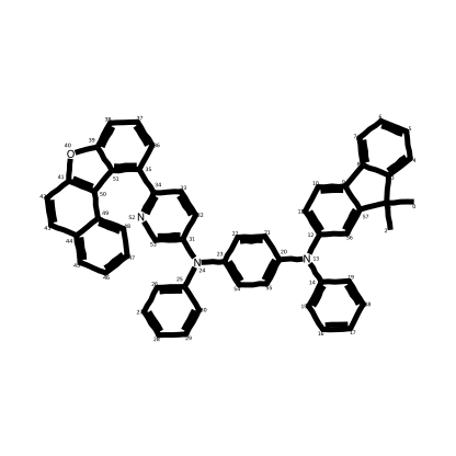 CC1(C)c2ccccc2-c2ccc(N(c3ccccc3)c3ccc(N(c4ccccc4)c4ccc(-c5cccc6oc7ccc8ccccc8c7c56)nc4)cc3)cc21